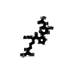 CC(=O)N[C@@H](CCCNC(=N)N)C(=O)N1CCC[C@H]1C(=O)N[C@H](C(=O)NC(=O)C(C)C)C(C)C